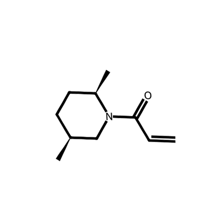 C=CC(=O)N1C[C@@H](C)CC[C@H]1C